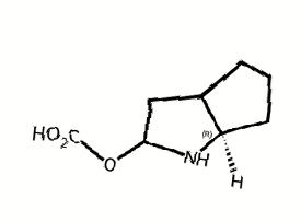 O=C(O)OC1CC2CCC[C@H]2N1